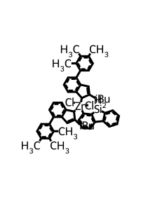 CCC(C)C1=Cc2c(-c3ccc(C)c(C)c3C)cccc2[CH]1[Zr]([Cl])([Cl])([c]1cccc2c1[SiH2]c1ccccc1-2)[CH]1C(C(C)CC)=Cc2c(-c3ccc(C)c(C)c3C)cccc21